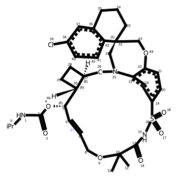 CC(C)NC(=O)O[C@H]1/C=C/COC(C)(C)C(=O)NS(=O)(=O)c2ccc3c(c2)N(C[C@@H]2CC[C@H]21)C[C@@]1(CCCc2cc(Cl)ccc21)CO3